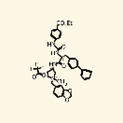 CCOC(=O)c1ccc(NC(=O)N[C@@H](Cc2ccc(-c3ccccc3)cc2)C(=O)N[C@H]2CC[N+](C)(Cc3ccc4c(c3)OCO4)C2)cc1.O=C([O-])C(F)(F)F